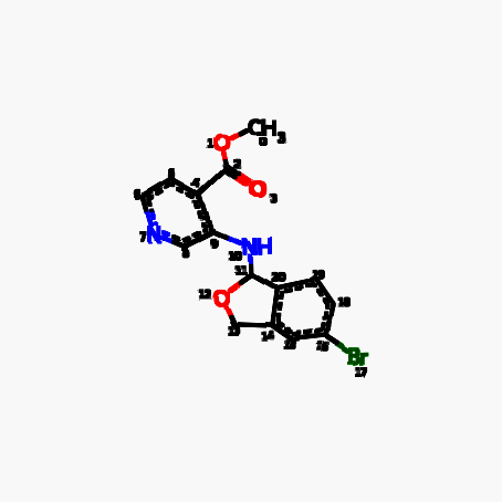 COC(=O)c1ccncc1NC1OCc2cc(Br)ccc21